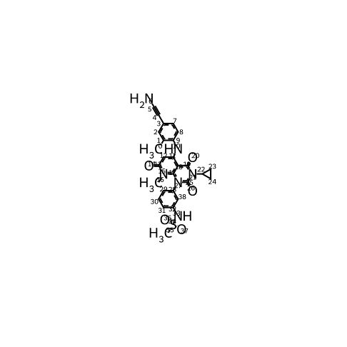 Cc1cc(C#CN)ccc1Nc1cc(=O)n(C)c2c1c(=O)n(C1CC1)c(=O)n2-c1cccc(NS(C)(=O)=O)c1